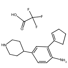 Nc1ccc(C2CCNCC2)cc1C1=CCCC1.O=C(O)C(F)(F)F